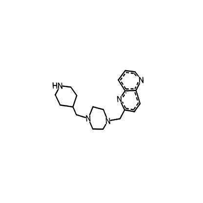 c1cnc2ccc(CN3CCN(CC4CCNCC4)CC3)nc2c1